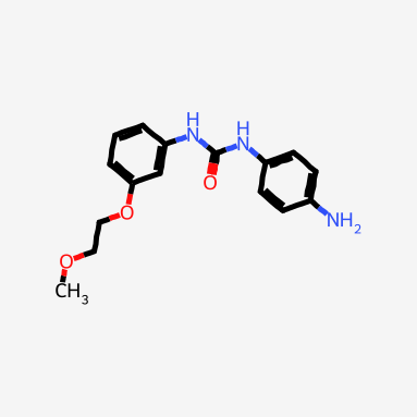 COCCOc1cccc(NC(=O)Nc2ccc(N)cc2)c1